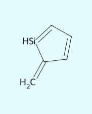 C=C1C=CC=[SiH]1